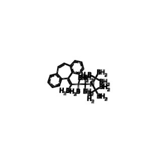 BC(=C1c2ccccc2C=Cc2ccccc21)C(B)(B)C(B)(B)N(C(B)(B)B)C(B)(B)B